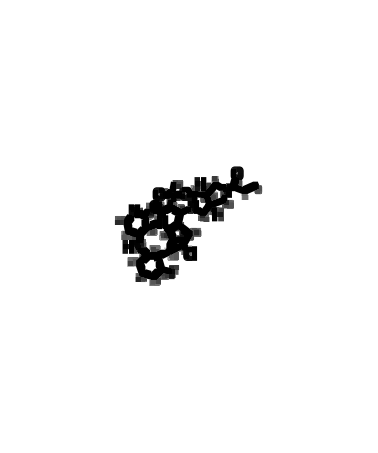 C=CC(=O)N1C[C@@H]2CN(c3c(S(C)(=O)=O)c(=O)n4c5c(C(C)C)nccc5[nH]c5cccc(F)c5c5c(Cl)cc3c4c5F)C[C@@H]2C1